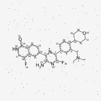 CN(C)Cc1cc(-c2nc(-c3ccc4c(=O)[nH]cc(F)c4c3)c(N)nc2F)ccc1C1CCOCC1